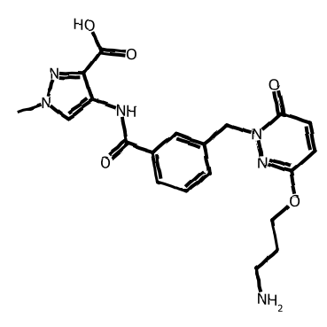 Cn1cc(NC(=O)c2cccc(Cn3nc(OCCCN)ccc3=O)c2)c(C(=O)O)n1